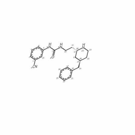 N#Cc1cccc(NC(=O)NCC[C@H]2C[C@H](Cc3ccccc3)CCN2)c1